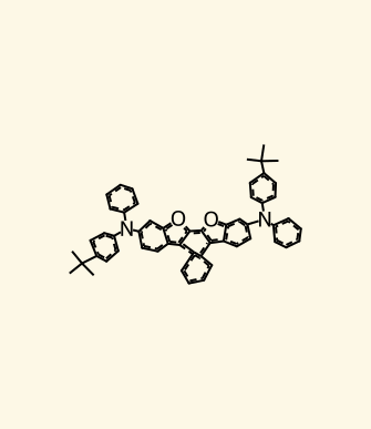 CC(C)(C)c1ccc(N(c2ccccc2)c2ccc3c(c2)oc2c4oc5cc(N(c6ccccc6)c6ccc(C(C)(C)C)cc6)ccc5c4c4ccccc4c32)cc1